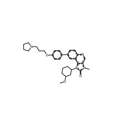 COC1CCCC(n2c(=O)n(C)c3cnc4ccc(-c5ccc(OCCCN6CCCC6)cc5)cc4c32)C1